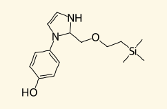 C[Si](C)(C)CCOCC1NC=CN1c1ccc(O)cc1